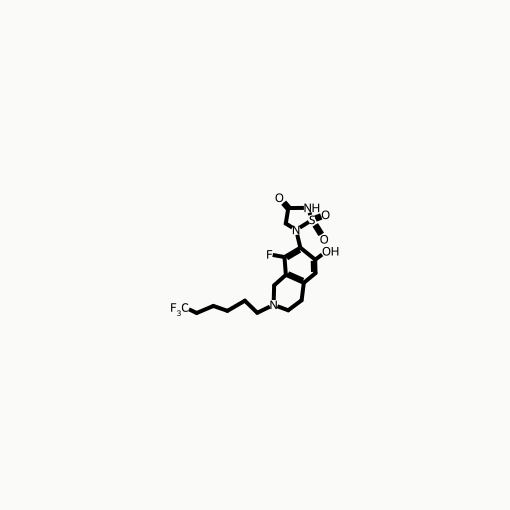 O=C1CN(c2c(O)cc3c(c2F)CN(CCCCCC(F)(F)F)CC3)S(=O)(=O)N1